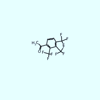 CC(=O)c1ccc(C(F)(F)F)c(C(F)(F)F)c1C(F)(F)F